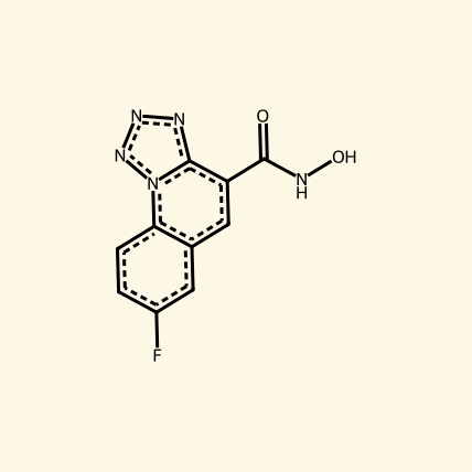 O=C(NO)c1cc2cc(F)ccc2n2nnnc12